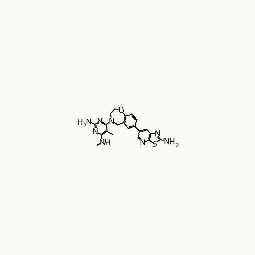 CNc1nc(N)nc(N2CCOc3ccc(-c4cnc5sc(N)nc5c4)cc3C2)c1C